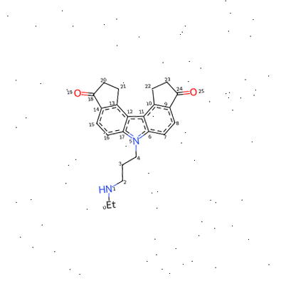 CCNCCCn1c2ccc3c(c2c2c4c(ccc21)C(=O)CC4)CCC3=O